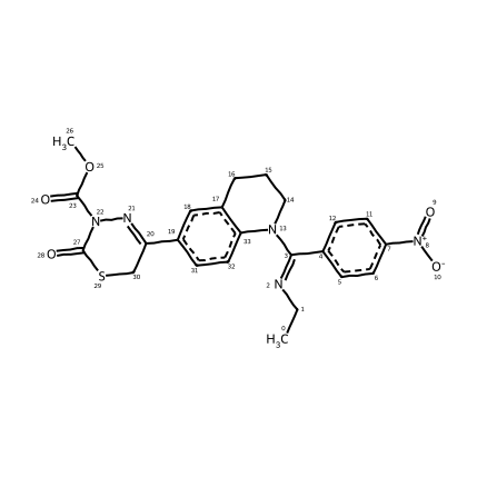 CCN=C(c1ccc([N+](=O)[O-])cc1)N1CCCc2cc(C3=NN(C(=O)OC)C(=O)SC3)ccc21